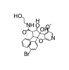 COc1cncc2c1C1(O)[C@H](O)[C@H](C(=O)NCCO)C(c3ccccc3)C1(c1ccc(Br)cc1)O2